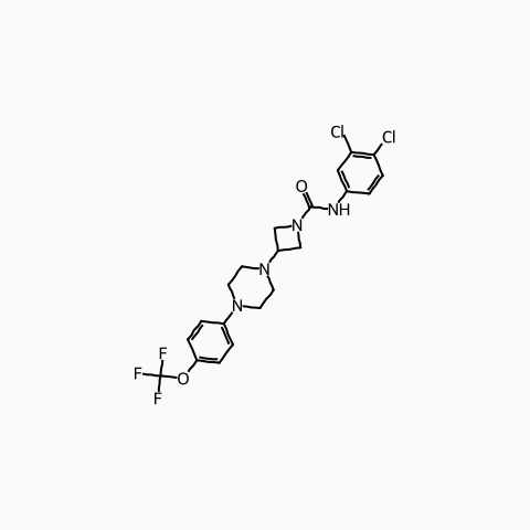 O=C(Nc1ccc(Cl)c(Cl)c1)N1CC(N2CCN(c3ccc(OC(F)(F)F)cc3)CC2)C1